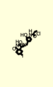 O=C(/C=C\Cl)Nc1ccc(CNC=C2C(=O)NC(=O)c3ccc(I)cc32)cc1O